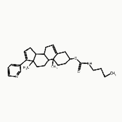 CCCCNC(=O)OC1CCC2(C)C(=CCC3C2CCC2(C)C(c4cccnc4)=CCC32)C1